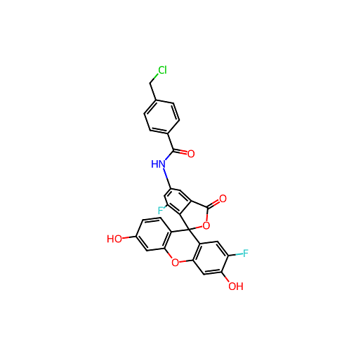 O=C(Nc1cc(F)c2c(c1)C(=O)OC21c2ccc(O)cc2Oc2cc(O)c(F)cc21)c1ccc(CCl)cc1